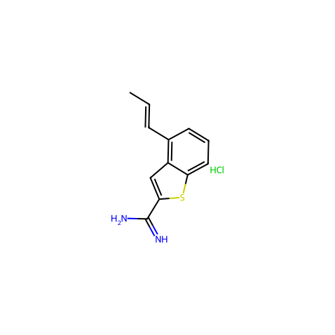 CC=Cc1cccc2sc(C(=N)N)cc12.Cl